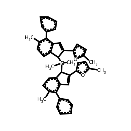 Cc1ccc(C2=Cc3c(ccc(C)c3-c3ccccc3)C2[Si](C)(C)C2C(c3ccc(C)o3)=Cc3c2ccc(C)c3-c2ccccc2)o1